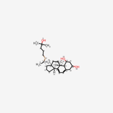 CC(SCCCC(C)(C)O)[C@H]1CC[C@H]2C3=CC=C4CC(O)CC(O)[C@]4(C)[C@H]3CC[C@]12C